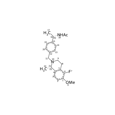 COc1ccc2c(c1F)CCN(Cc1ccc([C@H](C)NC(C)=O)cc1)[C@H]2C